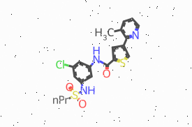 CCCS(=O)(=O)Nc1cc(Cl)cc(NC(=O)c2cc(-c3ncccc3C)cs2)c1